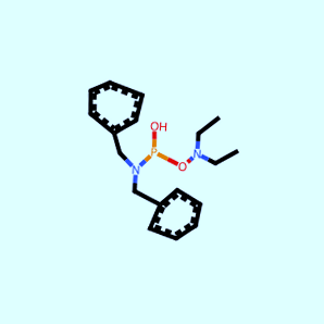 CCN(CC)OP(O)N(Cc1ccccc1)Cc1ccccc1